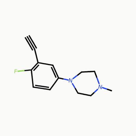 C#Cc1cc(N2CCN(C)CC2)ccc1F